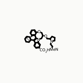 CNCCN1CCCC1CO[C@@H]1COc2cccc(C)c2-c2c(C3CCCCC3)c3ccc(C(=O)O)cc3n2C1